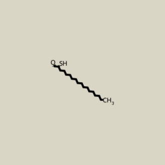 CCCCCCCCCCCCCCCCC(S)[C]=O